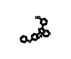 N[N+]12C=CN=CC1=C(c1cccc(O)c1)N=C2c1ccc(Oc2ccccc2)cc1